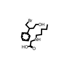 CCCCCNCC(=O)O.OCCC(CBr)c1ccccc1